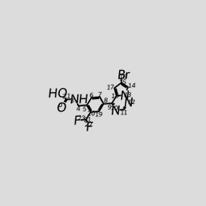 O=C(O)NCc1ccc(-c2ncnn3cc(Br)cc23)cc1C(F)F